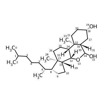 CC(C)CCC[C@@H](C)[C@H]1CC[C@H]2[C@H]3OC(O)[C@H]4C[C@@H](O)CC[C@]4(C)[C@H]3CC[C@]12C